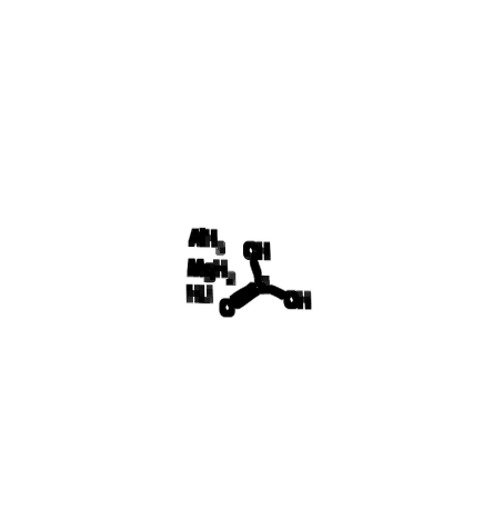 O=[Si](O)O.[AlH3].[LiH].[MgH2]